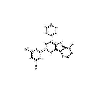 Clc1cccc2c1sc1c(-c3ccccc3)nc(-c3cc(Br)cc(Br)c3)nc12